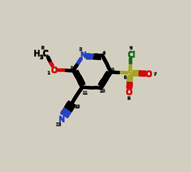 COc1ncc(S(=O)(=O)Cl)cc1C#N